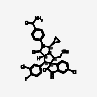 CC(C)(C)C[C@@H]1N2[C@H](C3CC3)N(c3ccc(C(N)=O)cc3)C(=O)[C@H]2[C@H](c2ccc(F)c(Cl)c2)[C@@]12C(=O)Nc1cc(Cl)ccc12